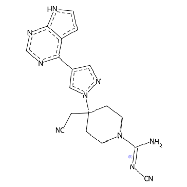 N#CCC1(n2cc(-c3ncnc4[nH]ccc34)cn2)CCN(/C(N)=N/C#N)CC1